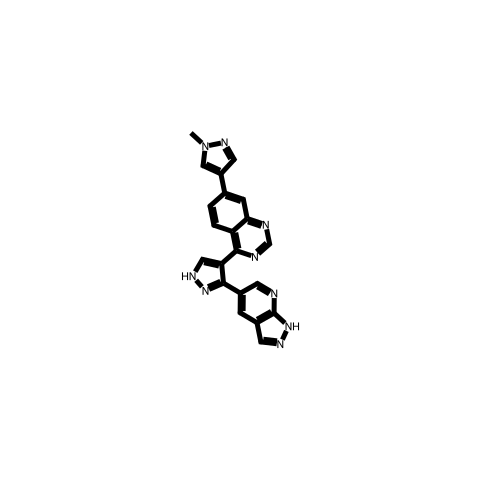 Cn1cc(-c2ccc3c(-c4c[nH]nc4-c4cnc5[nH]ncc5c4)ncnc3c2)cn1